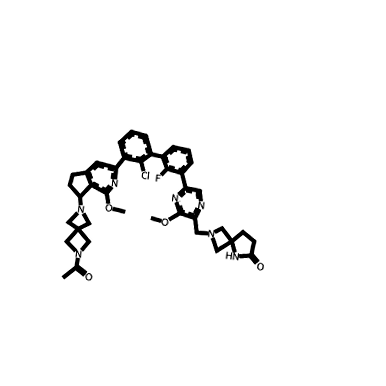 COc1nc(-c2cccc(-c3cccc(-c4cc5c(c(OC)n4)C(N4CC6(CN(C(C)=O)C6)C4)CC5)c3Cl)c2F)cnc1CN1CC2(CCC(=O)N2)C1